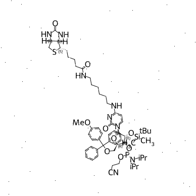 COc1ccc(C(OC[C@H]2O[C@@H](n3ccc(NCCCCCCNC(=O)CCCC[C@@H]4SC[C@@H]5NC(=O)N[C@@H]54)nc3=O)[C@H](O[Si](C)(C)C(C)(C)C)[C@@H]2OP(OCCC#N)N(C(C)C)C(C)C)(c2ccccc2)c2ccccc2)cc1